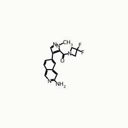 Cn1ncc(-c2ccc3cnc(N)cc3c2)c1C(=O)N1CC(F)(F)C1